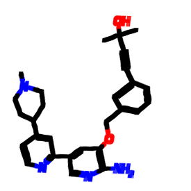 CN1CCC(c2ccnc(-c3cnc(N)c(OCc4cccc(C#CC(C)(C)O)c4)c3)c2)CC1